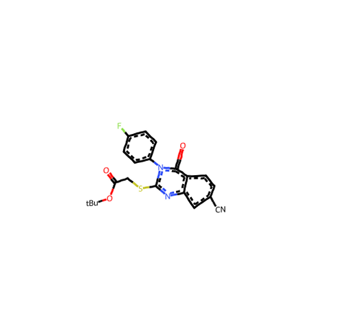 CC(C)(C)OC(=O)CSc1nc2cc(C#N)ccc2c(=O)n1-c1ccc(F)cc1